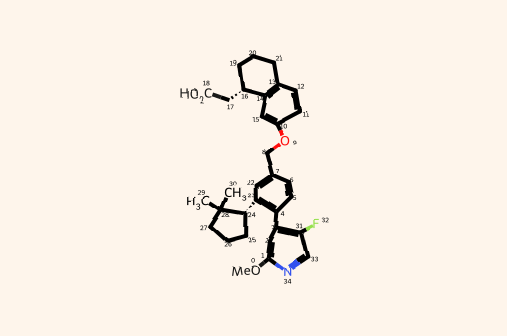 COc1cc(-c2ccc(COc3ccc4c(c3)[C@H](CC(=O)O)CCC4)cc2[C@@H]2CCCC2(C)C)c(F)cn1